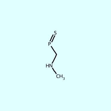 CNCP=S